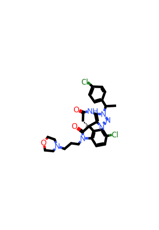 CC(c1ccc(Cl)cc1)n1nnc2c1NC(=O)C[C@]21C(=O)N(CCCN2CCOCC2)c2ccc(Cl)cc21